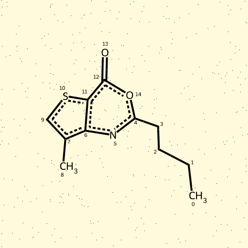 CCCCc1nc2c(C)csc2c(=O)o1